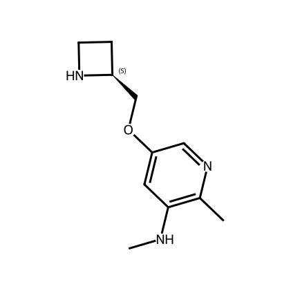 CNc1cc(OC[C@@H]2CCN2)cnc1C